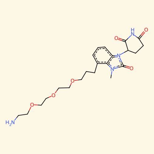 Cn1c(=O)n(C2CCC(=O)NC2=O)c2cccc(CCCOCCOCCOCCN)c21